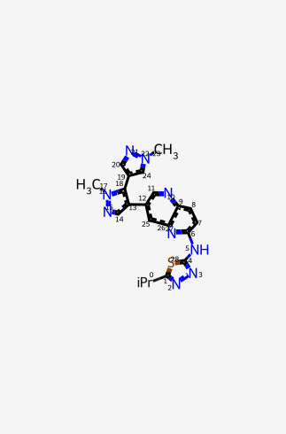 CC(C)c1nnc(Nc2ccc3ncc(-c4cnn(C)c4-c4cnn(C)c4)cc3n2)s1